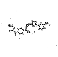 CC(C)(C)OC(=O)NC1CCC(N(C(=O)O)C2CC2c2cnc(-c3cccc(N)c3)s2)CC1